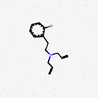 C=CCN(CC=C)CCc1ccccc1Br